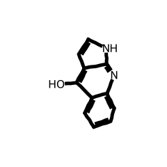 Oc1c2ccccc2nc2[nH]ccc12